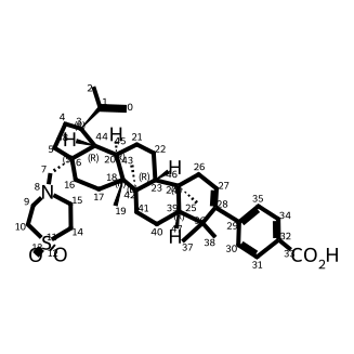 C=C(C)[C@@H]1CC[C@]2(CN3CCS(=O)(=O)CC3)CC[C@]3(C)[C@H](CC[C@@H]4[C@@]5(C)CC=C(c6ccc(C(=O)O)cc6)C(C)(C)[C@@H]5CC[C@]43C)[C@@H]12